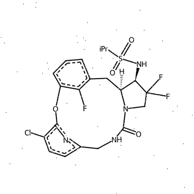 CC(C)S(=O)(=O)N[C@@H]1[C@@H]2Cc3cccc(c3F)Oc3nc(ccc3Cl)CNC(=O)N2CC1(F)F